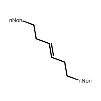 CCCCCCCCCCC[C]=CCCCCCCCCCCC